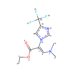 CCOC(=O)/C(=C/N(C)C)n1cnc(C(F)(F)F)c1